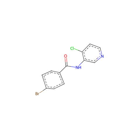 O=C(Nc1cnccc1Cl)c1ccc(Br)cc1